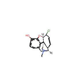 CN1CC[C@]23c4c5ccc(O)c4O[C@H]2C(Cl)C=CC3[C@H]1C5